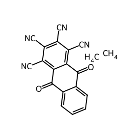 C.C.N#Cc1c(C#N)c(C#N)c2c(c1C#N)C(=O)c1ccccc1C2=O